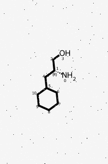 N[C@@H](CO)CC1CCCCC1